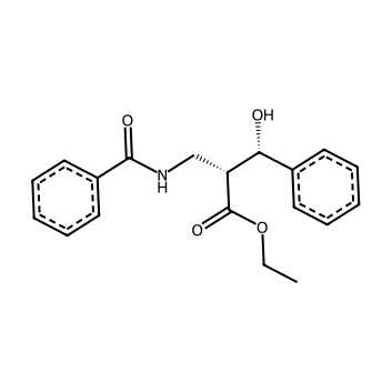 CCOC(=O)[C@H](CNC(=O)c1ccccc1)[C@H](O)c1ccccc1